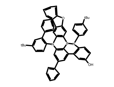 CC(C)(C)c1ccc(N2B3c4cc5oc6ccccc6c5cc4N(c4ccc(C(C)(C)C)cc4-c4ccccc4)c4cc(-c5ccccc5)cc(c43)-c3cc(O)ccc32)cc1